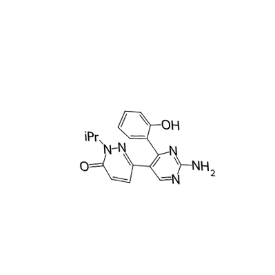 CC(C)n1nc(-c2cnc(N)nc2-c2ccccc2O)ccc1=O